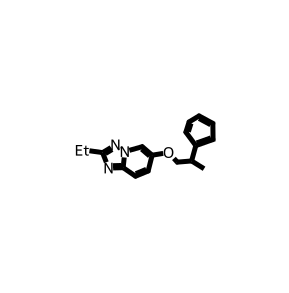 CCc1nc2ccc(OCC(C)c3ccccc3)cn2n1